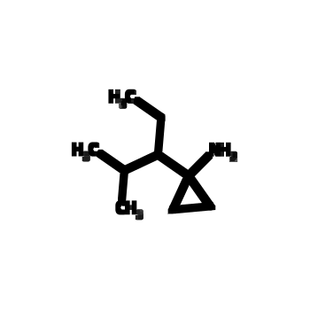 CCC(C(C)C)C1(N)CC1